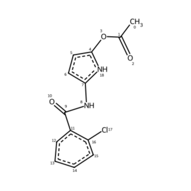 CC(=O)Oc1ccc(NC(=O)c2ccccc2Cl)[nH]1